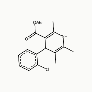 COC(=O)C1=C(C)NC(C)=C(C)C1c1ccccc1Cl